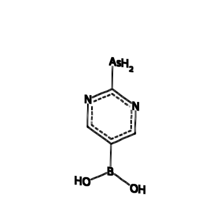 OB(O)c1cnc([AsH2])nc1